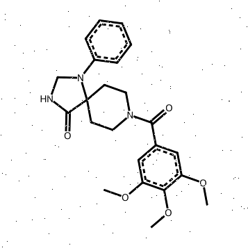 COc1cc(C(=O)N2CCC3(CC2)C(=O)NCN3c2ccccc2)cc(OC)c1OC